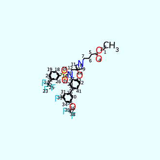 CCOC(=O)CCCN1CC2(C1)CN(S(=O)(=O)c1cccc(C(F)(F)F)c1)c1cc(-c3cc(F)cc(OC(F)F)c3)ccc1O2